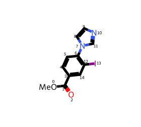 COC(=O)c1ccc(-n2ccnc2)c(I)c1